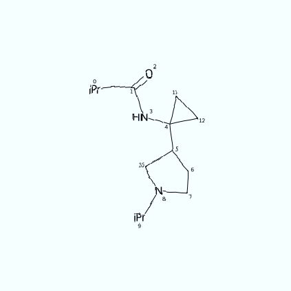 CC(C)C(=O)NC1(C2CCN(C(C)C)C2)CC1